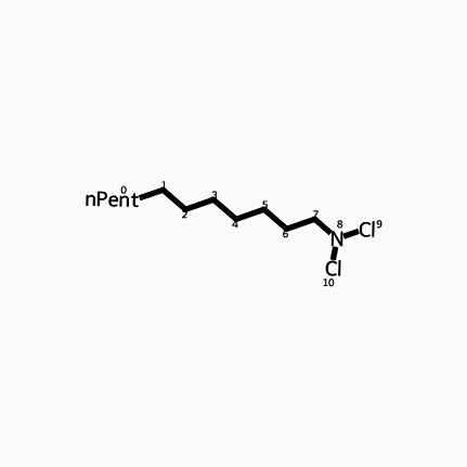 CCCCCCCCCCCCN(Cl)Cl